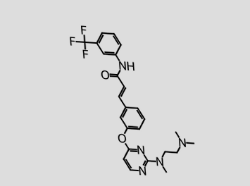 CN(C)CCN(C)c1nccc(Oc2cccc(C=CC(=O)Nc3cccc(C(F)(F)F)c3)c2)n1